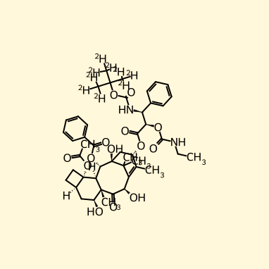 [2H]C([2H])([2H])C(OC(=O)N[C@@H](c1ccccc1)[C@@H](OC(=O)NCC)C(=O)O[C@H]1C[C@@]2(O)[C@@H](OC(=O)c3ccccc3)[C@@H]3[C@]4(OC(C)=O)CC[C@@H]4C[C@H](O)[C@@]3(C)C(=O)[C@H](O)C(=C1C)C2(C)C)(C([2H])([2H])[2H])C([2H])([2H])[2H]